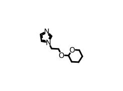 c1cn(CCOC2CCCCO2)cn1